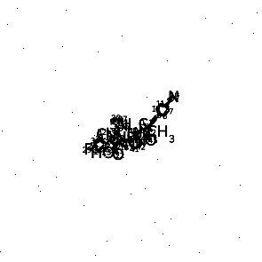 CC(C)(C#Cc1ccc(C#N)cc1)N1C[C@@H]2CN(CC3=C(C(=O)O)[C@H](c4ccc(F)cc4Cl)N=C(c4nccs4)N3)CCN2C1=O